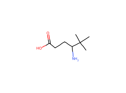 CC(C)(C)C(N)CCC(=O)O